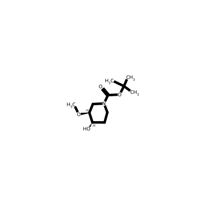 CO[C@H]1CN(C(=O)OC(C)(C)C)CC[C@@H]1O